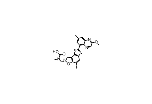 COc1cnc2c(-c3nc4cc(F)c5c(c4s3)C[C@@H](CN(C)C(=O)O)O5)cc(C)cc2n1